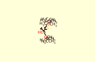 CC(C)[Si](OCc1cc([C@@](O)(CCCO[Si](C)(C)C(C)(C)C)C2CC2)cs1)(C(C)C)C(C)C